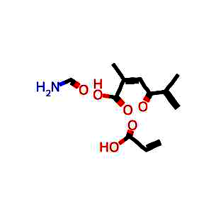 C=C(C)C(=O)C=C(C)C(=O)O.C=CC(=O)O.NC=O